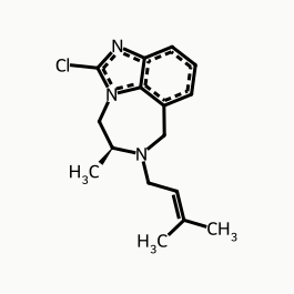 CC(C)=CCN1Cc2cccc3nc(Cl)n(c23)C[C@@H]1C